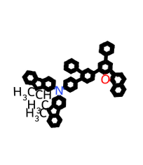 CC1(C)c2ccccc2-c2ccc(N(c3ccc(-c4ccc(-c5cc(-c6ccccc6)cc6c5oc5c7ccccc7ccc65)cc4-c4ccccc4)cc3)c3ccc4c(c3)C(C)(C)c3ccccc3-4)cc21